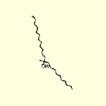 CCCCCCCCCCCCC(C)(O)CCCCCCCCCC